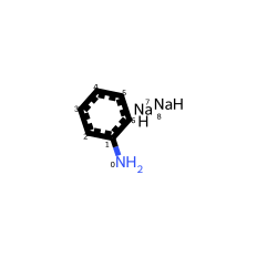 Nc1ccccc1.[NaH].[NaH]